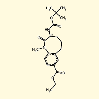 CCOC(=O)c1ccc2c(c1)CCC[C@H](NC(=O)OC(C)(C)C)C(=O)N2C